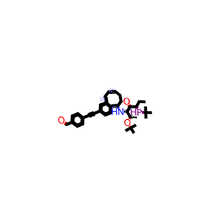 CCC(PC(C)(C)C)C(=O)[C@@H](N\C1=c2/ccc(C#Cc3ccc(C=O)cc3)c/c2=C/C=C\CC1)[C@@H](C)OC(C)(C)C